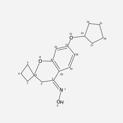 ON=C1CC2(CCC2)Oc2cc(OC3CCCC3)ccc21